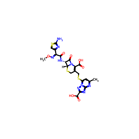 CON=C(C(=O)N[C@@H]1C(=O)N2C(C(=O)O)=C(CSc3cc(C)nc4nc(C(=O)O)nn34)CS[C@H]12)c1csc(N)n1